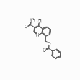 CC(C)C(=O)c1cnc2c(COC(=O)c3ccccc3)cccc2c1Cl